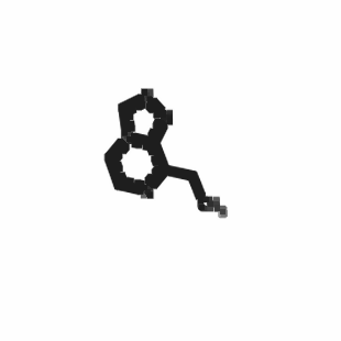 CCc1nccn2cnnc12